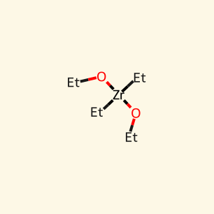 CC[O][Zr]([CH2]C)([CH2]C)[O]CC